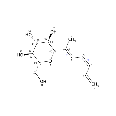 C=C/C=C\C=C(/C)[C@@H]1O[C@H](CO)[C@@H](O)[C@H](O)[C@H]1O